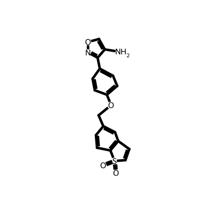 Nc1conc1-c1ccc(OCc2ccc3c(c2)C=CS3(=O)=O)cc1